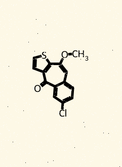 COc1cc2ccc(Cl)cc2c(=O)c2ccsc12